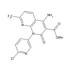 COC(=O)c1c(N)c2ccc(C(F)(F)F)nc2n(-c2ccc(Cl)nc2)c1=O